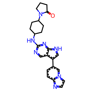 O=C1CCCN1C1CCC(Nc2ncc3c(-c4ccc5nccn5c4)c[nH]c3n2)CC1